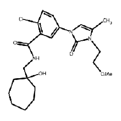 COCCn1c(C)cn(-c2ccc(Cl)c(C(=O)NCC3(O)CCCCCC3)c2)c1=O